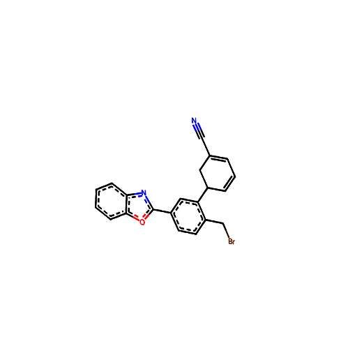 N#CC1=CC=CC(c2cc(-c3nc4ccccc4o3)ccc2CBr)C1